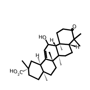 CC1(C)C(=O)CC[C@]2(C)[C@H]3C(O)C=C4[C@@H]5C[C@@](C)(C(=O)O)CC[C@]5(C)CC[C@@]4(C)[C@]3(C)CC[C@@H]12